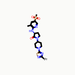 Cc1cc(S(C)(=O)=O)cnc1N[C@H]1CCN(C2CCN(c3nc(C(C)C)ns3)CC2)C1=O